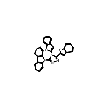 C1=CC2C=C(c3nnc(-n4c5c(c6c4C=CCC6)CCC=C5)n3-c3cc4ccccc4o3)OC2C=C1